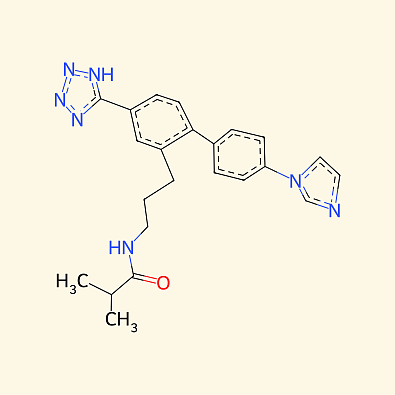 CC(C)C(=O)NCCCc1cc(-c2nnn[nH]2)ccc1-c1ccc(-n2ccnc2)cc1